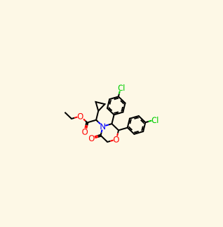 CCOC(=O)C(C1CC1)N1C(=O)COC(c2ccc(Cl)cc2)C1c1ccc(Cl)cc1